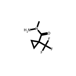 CN(N)C(=O)C1(C(F)(F)F)CC1